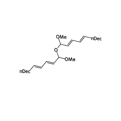 CCCCCCCCCCC=CC=CC(OC)OC(C=CC=CCCCCCCCCCC)OC